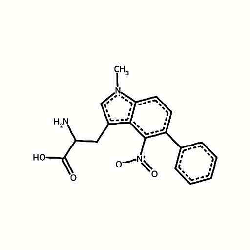 Cn1cc(CC(N)C(=O)O)c2c([N+](=O)[O-])c(-c3ccccc3)ccc21